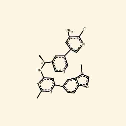 Cc1nc(N[C@@H](C)c2cncc(-c3cnc(Cl)c(N)c3)c2)cc(-c2ccc3occ(C)c3c2)n1